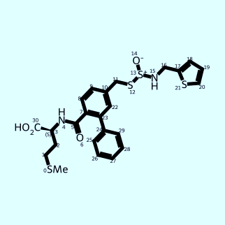 CSCC[C@H](NC(=O)c1ccc(CS[S+]([O-])NCc2cccs2)cc1-c1ccccc1)C(=O)O